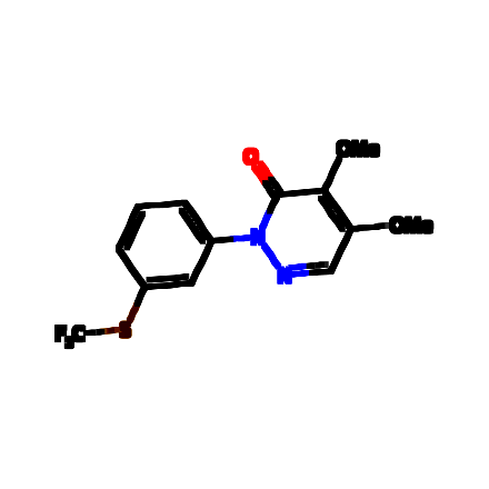 COc1cnn(-c2cccc(SC(F)(F)F)c2)c(=O)c1OC